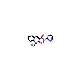 Cn1c(=O)c(C(=O)Nc2ncccn2)cc2ccccc21